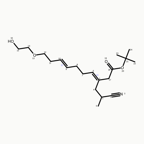 CC(C#N)C/C(=C\CC/C=C/CCOCCO)CC(=O)OC(C)(C)C